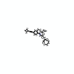 C=NC(=O)N1CCc2cc(C#CC3CCC3)ccc2/C1=C/COC[C@H]1COCCCCO1